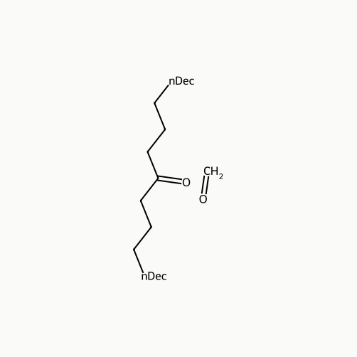 C=O.CCCCCCCCCCCCCC(=O)CCCCCCCCCCCCC